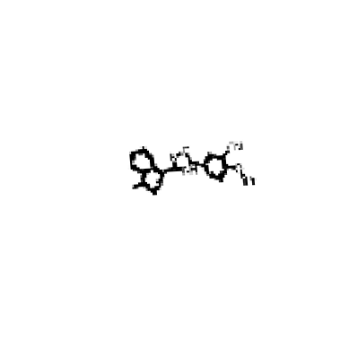 Cc1ccc(C2=NOC(c3ccc(OC(C)C)c(C#N)c3)N2)c2ccccc12